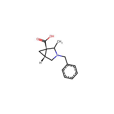 CC1N(Cc2ccccc2)C[C@@H]2C[C@]12C(=O)O